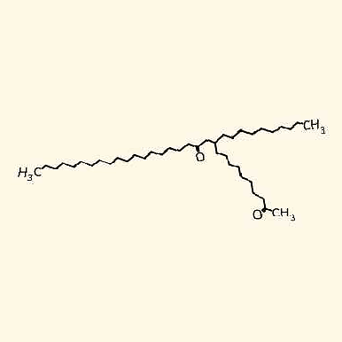 CCCCCCCCCCCCCCCCCCC(=O)CC(CCCCCCCCCC)CCCCCCCCC(C)=O